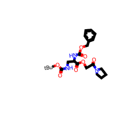 CC(C)(C)OC(=O)NCC(NC(=O)OCc1ccccc1)C(=O)OCC(=O)N1CCCC1